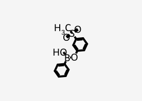 CS(=O)(=O)c1cccc(OB(O)c2ccccc2)c1